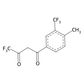 Cc1ccc(C(=O)CC(=O)C(F)(F)F)cc1C(F)(F)F